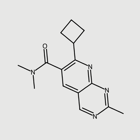 Cc1ncc2cc(C(=O)N(C)C)c(C3CCC3)nc2n1